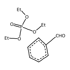 CCOP(=O)(OCC)OCC.O=Cc1ccccc1